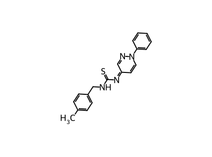 Cc1ccc(CNC(=S)N=c2ccn(-c3ccccc3)nc2)cc1